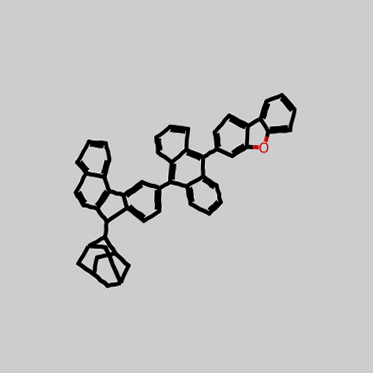 c1ccc2c3c(ccc2c1)C(C1C2CC4CC(C2)CC1C4)c1ccc(-c2c4ccccc4c(-c4ccc5c(c4)oc4ccccc45)c4ccccc24)cc1-3